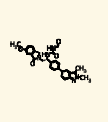 COc1ccc2c(c1)C(=O)N(C[C@H](NC(=O)NC=O)c1ccc(-c3ccc4nn(C)c(C)c4c3)cc1)C2